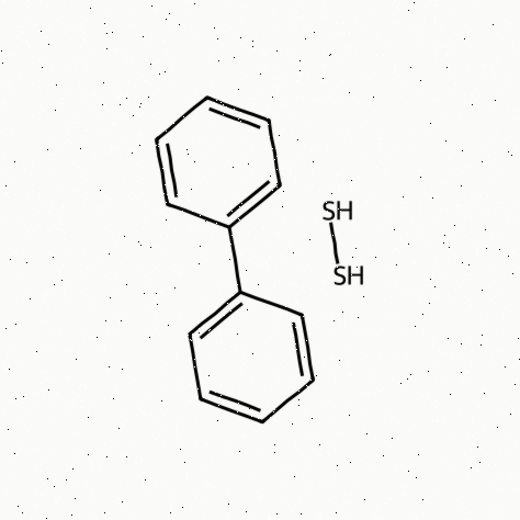 SS.c1ccc(-c2ccccc2)cc1